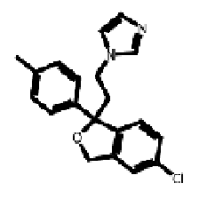 Cc1ccc(C2(CCn3ccnc3)OCc3cc(Cl)ccc32)cc1